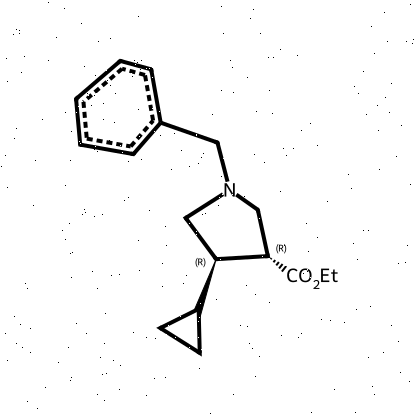 CCOC(=O)[C@H]1CN(Cc2ccccc2)C[C@@H]1C1CC1